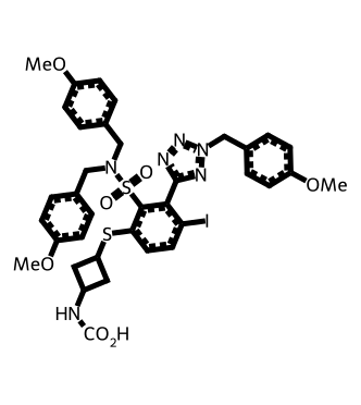 COc1ccc(CN(Cc2ccc(OC)cc2)S(=O)(=O)c2c(SC3CC(NC(=O)O)C3)ccc(I)c2-c2nnn(Cc3ccc(OC)cc3)n2)cc1